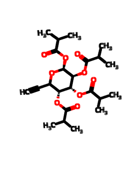 C#CC1O[C@@H](OC(=O)C(C)C)[C@@H](OC(=O)C(C)C)[C@H](OC(=O)C(C)C)[C@@H]1OC(=O)C(C)C